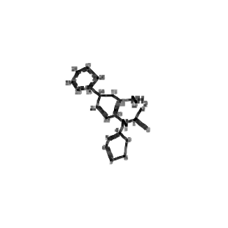 C=C(C)N(C1=CC=CCC1)C1=C(N)CC(c2ccccc2)C=C1